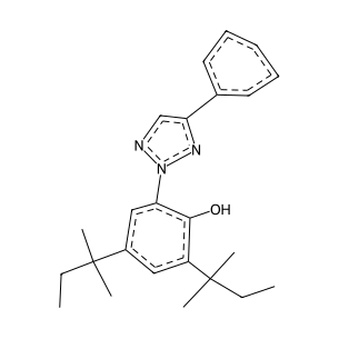 CCC(C)(C)c1cc(-n2ncc(-c3ccccc3)n2)c(O)c(C(C)(C)CC)c1